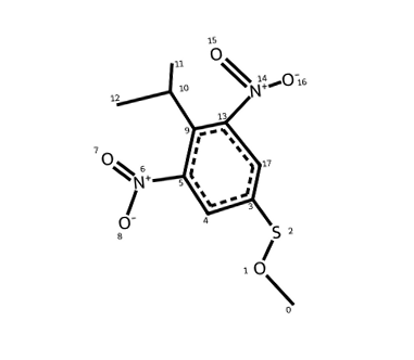 COSc1cc([N+](=O)[O-])c(C(C)C)c([N+](=O)[O-])c1